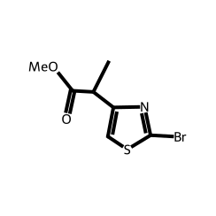 COC(=O)C(C)c1csc(Br)n1